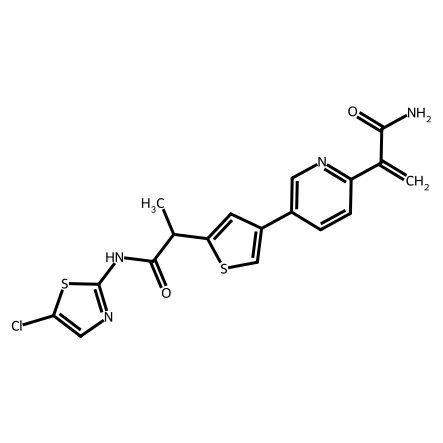 C=C(C(N)=O)c1ccc(-c2csc(C(C)C(=O)Nc3ncc(Cl)s3)c2)cn1